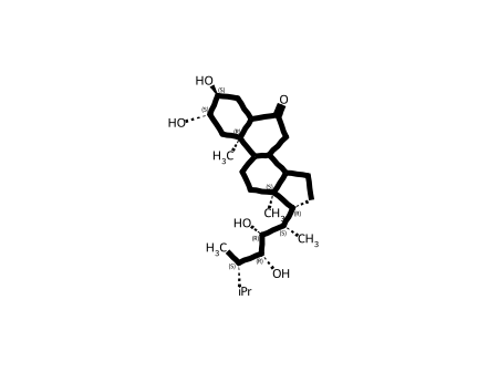 CC(C)[C@H](C)[C@@H](O)[C@H](O)[C@@H](C)[C@H]1CCC2C3CC(=O)C4C[C@H](O)[C@@H](O)C[C@]4(C)C3CC[C@@]21C